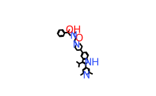 Cc1cc(-c2[nH]c3ccc(C4CCN(CC(=O)N(C)CC(O)c5ccccc5)CC4)cc3c2C(C)C)cc(C)n1